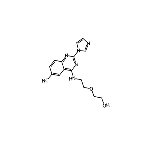 N#Cc1ccc2nc(-n3ccnc3)nc(NCCOCCO)c2c1